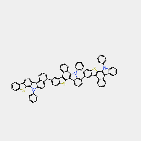 c1ccc(-n2c3ccc4c(-c5ccc6sc7c(c6c5)c5ccccc5c5c7c6cccc(-c7ccc8sc9c(c8c7)c7ccccc7c7c8ccccc8n(-c8ccccc8)c97)c6n5-c5ccccc5)cccc4c3c3ccc4c5ccccc5sc4c32)cc1